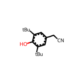 CC(C)(C)c1cc(CC#N)cc(C(C)(C)C)c1O